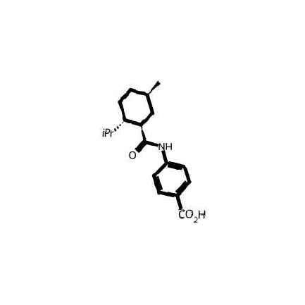 CC(C)[C@@H]1CC[C@@H](C)C[C@H]1C(=O)Nc1ccc(C(=O)O)cc1